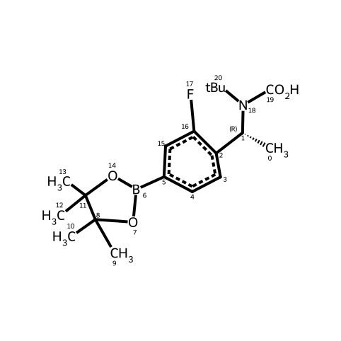 C[C@H](c1ccc(B2OC(C)(C)C(C)(C)O2)cc1F)N(C(=O)O)C(C)(C)C